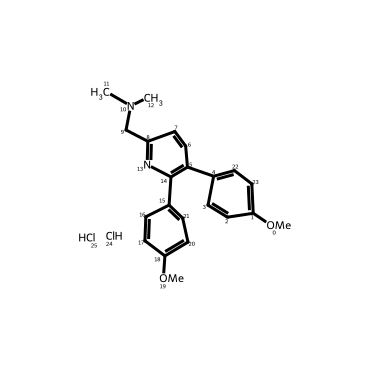 COc1ccc(-c2ccc(CN(C)C)nc2-c2ccc(OC)cc2)cc1.Cl.Cl